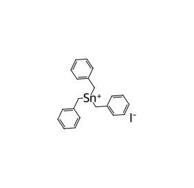 [I-].c1ccc([CH2][Sn+]([CH2]c2ccccc2)[CH2]c2ccccc2)cc1